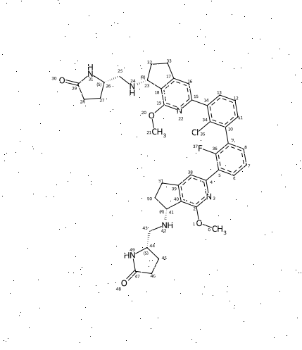 COc1nc(-c2cccc(-c3cccc(-c4cc5c(c(OC)n4)[C@H](NC[C@@H]4CCC(=O)N4)CC5)c3Cl)c2F)cc2c1[C@H](NC[C@@H]1CCC(=O)N1)CC2